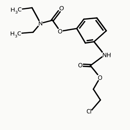 CCN(CC)C(=O)Oc1cccc(NC(=O)OCCCl)c1